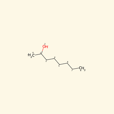 [CH2]C(O)CCCCCC